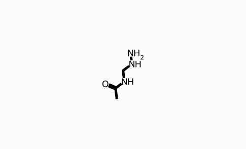 CC(=O)NCNN